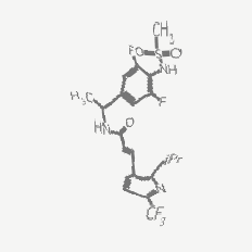 CC(C)c1nc(C(F)(F)F)ccc1C=CC(=O)NC(C)c1cc(F)c(NS(C)(=O)=O)c(F)c1